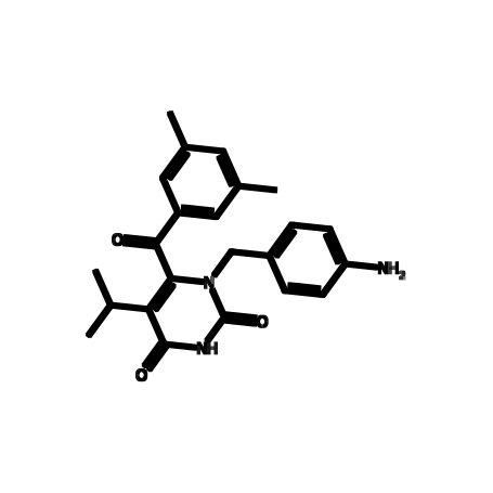 Cc1cc(C)cc(C(=O)c2c(C(C)C)c(=O)[nH]c(=O)n2Cc2ccc(N)cc2)c1